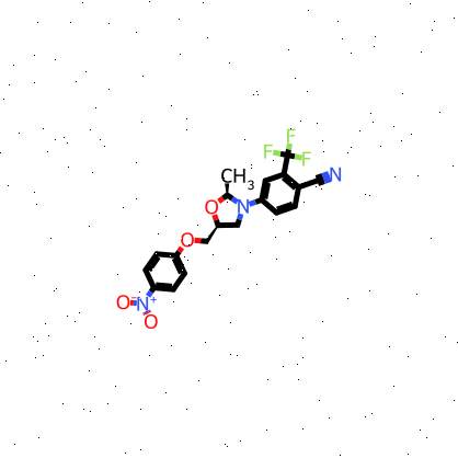 C[C@@H]1O[C@H](COc2ccc([N+](=O)[O-])cc2)CN1c1ccc(C#N)c(C(F)(F)F)c1